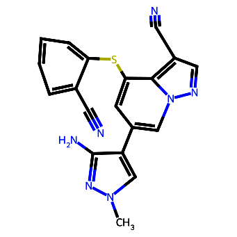 Cn1cc(-c2cc(Sc3ccccc3C#N)c3c(C#N)cnn3c2)c(N)n1